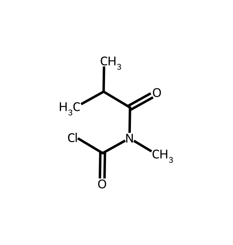 CC(C)C(=O)N(C)C(=O)Cl